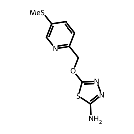 CSc1ccc(COc2nnc(N)s2)nc1